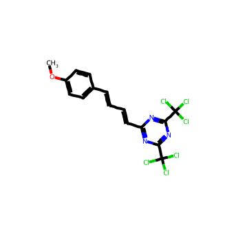 COc1ccc(C=CC=Cc2nc(C(Cl)(Cl)Cl)nc(C(Cl)(Cl)Cl)n2)cc1